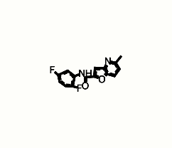 Cc1ccc2oc(C(=O)Nc3cc(F)ccc3F)cc2n1